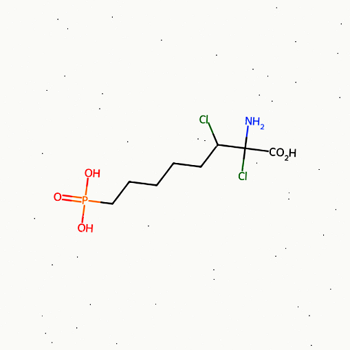 NC(Cl)(C(=O)O)C(Cl)CCCCCP(=O)(O)O